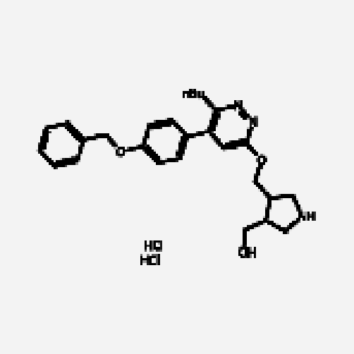 CCCCc1nnc(OCC2CNCC2CO)cc1-c1ccc(OCc2ccccc2)cc1.Cl.Cl